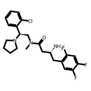 CN(C[C@H](c1ccccc1Cl)N1CCCC1)C(=O)C[C@H](N)Cc1cc(F)c(F)cc1F